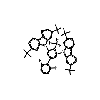 CC(C)(C)c1ccc2c3ccc(C(C)(C)C)cc3n(-c3cc(-c4c(F)cccc4F)cc(-n4c5cc(C(C)(C)C)ccc5c5ccc(C(C)(C)C)cc54)c3C(F)(F)F)c2c1